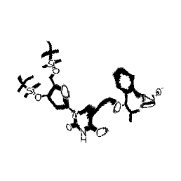 CC(C)[C@H](OCc1cn([C@H]2C[C@@H](O[Si](C)(C)C(C)(C)C)[C@@H](CO[Si](C)(C)C(C)(C)C)O2)c(=O)[nH]c1=O)c1ccccc1[N+](=O)[O-]